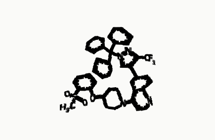 CS(=O)(=O)c1ccccc1OC1CCN(c2ccnc3ccc(-c4cn(C(c5ccccc5)(c5ccccc5)c5ccccc5)nc4C(F)(F)F)cc23)CC1